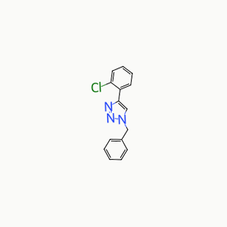 Clc1ccccc1-c1cn(Cc2ccccc2)nn1